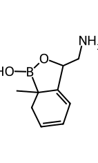 CC12CC=CC=C1C(CN)OB2O